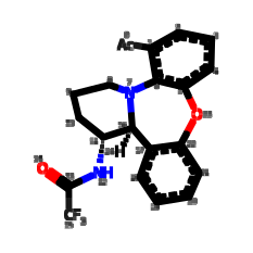 CC(=O)c1cccc2c1N1CCC[C@@H](NC(=O)C(F)(F)F)[C@@H]1c1ccccc1O2